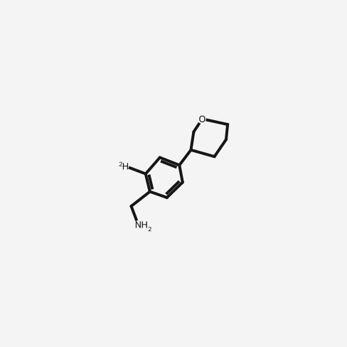 [2H]c1cc(C2CCCOC2)ccc1CN